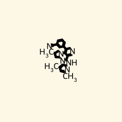 Cc1cc(C)c2nc(-c3cncc(-c4cccc(C#N)c4)c3N3CCC(C)C3)[nH]c2n1